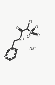 CCC(C(=O)NCc1cccnc1)S(=O)(=O)[O-].[Na+]